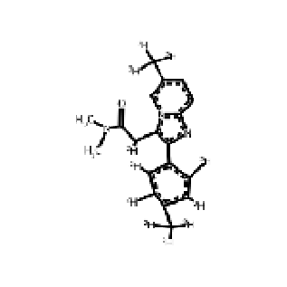 [2H]c1c([2H])c(C([2H])([2H])[2H])c([2H])c([2H])c1-c1nc2ccc(C([2H])([2H])[2H])cn2c1C([2H])C(=O)N(C)C